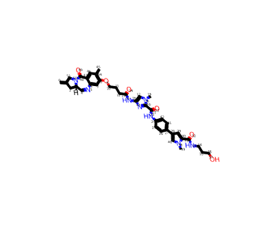 C=C1C[C@H]2C=Nc3cc(OCCCC(=O)Nc4cn(C)c(C(=O)Nc5ccc(-c6cc(C(=O)NCCCO)n(C)c6)cc5)n4)c(C)cc3C(=O)N2C1